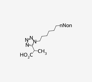 CCCCCCCCCCCCCCCn1nnnc1C(C)C(=O)O